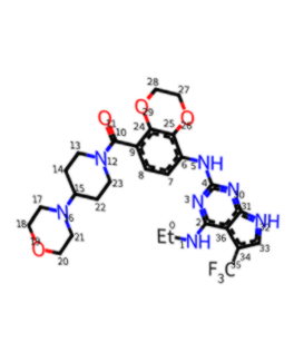 CCNc1nc(Nc2ccc(C(=O)N3CCC(N4CCOCC4)CC3)c3c2OCCO3)nc2[nH]cc(C(F)(F)F)c12